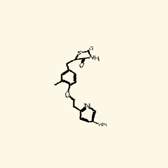 CCCc1ccc(CCOc2ccc(CC3SC(=O)NC3=O)cc2C)nc1